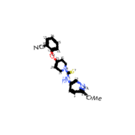 COc1ccc(NC(=S)N2CCC(Oc3ccccc3C#N)CC2)cn1